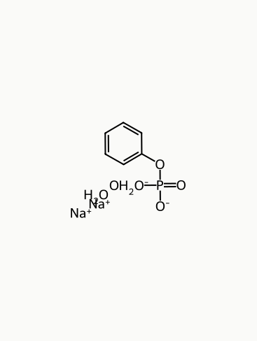 O.O.O=P([O-])([O-])Oc1ccccc1.[Na+].[Na+]